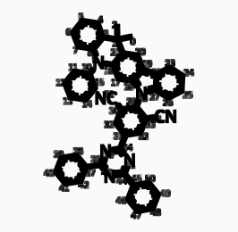 CC1(C)c2ccccc2N(c2ccccc2)c2cc3c(cc21)c1ccccc1n3-c1c(C#N)cc(-c2nc(-c3ccccc3)nc(-c3ccccc3)n2)cc1C#N